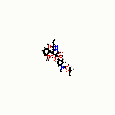 CCCCc1[nH]c(=O)c(S(=O)(=O)c2ccc(N(C)C(=O)OC(C)(C)C)cc2)c(O)c1-c1c(OC)cccc1OC